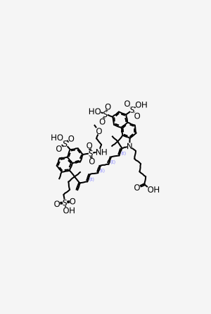 C=C(/C=C/C=C/C=C/C=C1/N(CCCCCC(=O)O)c2ccc3c(S(=O)(=O)O)cc(S(=O)(=O)O)cc3c2C1(C)C)C(C)(CCCS(=O)(=O)O)c1c(C)ccc2c(S(=O)(=O)O)cc(S(=O)(=O)NCCOC)cc12